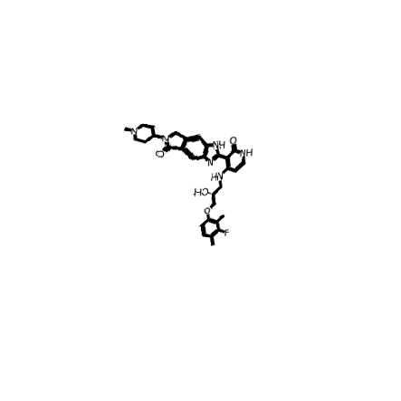 Cc1ccc(OC[C@H](O)CNc2cc[nH]c(=O)c2-c2nc3cc4c(cc3[nH]2)CN(C2CCN(C)CC2)C4=O)c(C)c1F